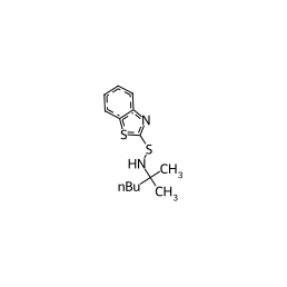 CCCCC(C)(C)NSc1nc2ccccc2s1